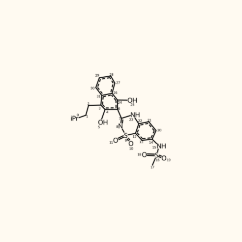 CC(C)CCc1c(O)c(C2=NS(=O)(=O)c3cc(NS(C)(=O)=O)ccc3N2)c(O)c2ccccc12